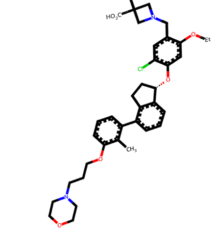 CCOc1cc(O[C@H]2CCc3c(-c4cccc(OCCCN5CCOCC5)c4C)cccc32)c(Cl)cc1CN1CC(C)(C(=O)O)C1